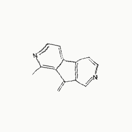 C=C1c2cnccc2-c2ccnc(C)c21